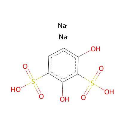 O=S(=O)(O)c1ccc(O)c(S(=O)(=O)O)c1O.[Na].[Na]